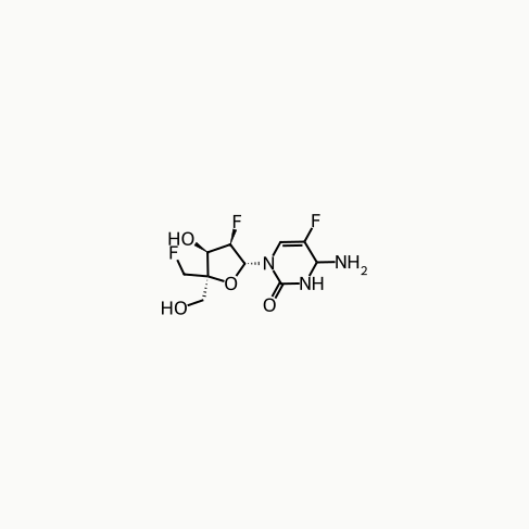 NC1NC(=O)N([C@@H]2O[C@@](CO)(CF)[C@@H](O)[C@H]2F)C=C1F